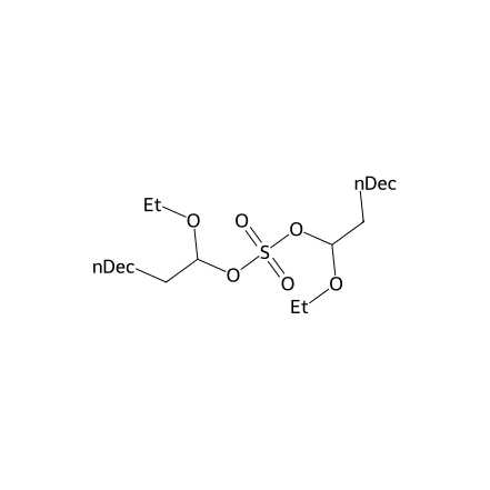 CCCCCCCCCCCC(OCC)OS(=O)(=O)OC(CCCCCCCCCCC)OCC